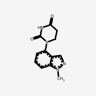 Cn1ncc2c(N3CCC(=O)NC3=O)cccc21